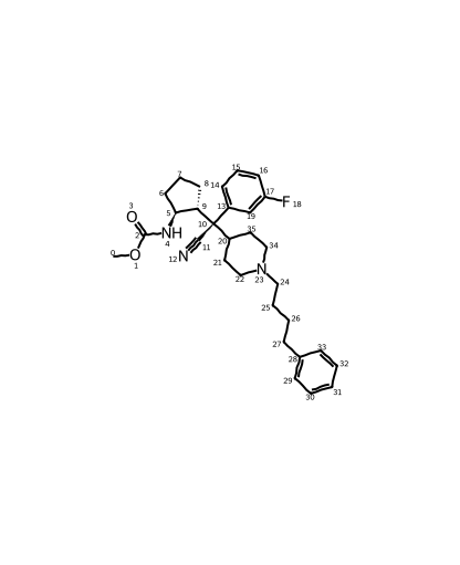 COC(=O)N[C@H]1CCC[C@@H]1[C@](C#N)(c1cccc(F)c1)C1CCN(CCCCc2ccccc2)CC1